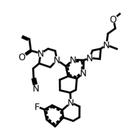 C=CC(=O)N1CCN(c2nc(N3CC(N(C)CCOC)C3)nc3c2CCC(N2CCCc4ccc(F)cc42)C3)CC1CC#N